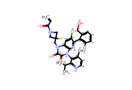 C=CC(=O)N1CC(F)(Cn2c(=O)c(=O)n(-c3c(C)ccnc3C(C)C)c3nc(-c4c(Cl)cccc4CO)c(Cl)cc32)C1